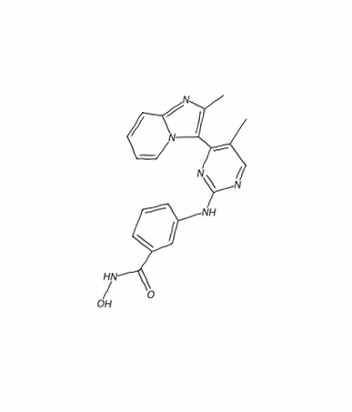 Cc1cnc(Nc2cccc(C(=O)NO)c2)nc1-c1c(C)nc2ccccn12